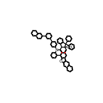 CC12C=CC=C(N(c3ccc(-c4cccc(-c5ccc6ccccc6c5)c4)cc3)c3ccccc3-c3cccc4c3oc3cc5ccccc5cc34)C1c1ccccc1C2(c1ccccc1)c1ccccc1